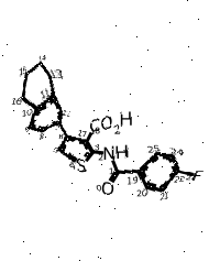 O=C(Nc1scc(-c2ccc3c(c2)CCCC3)c1C(=O)O)c1ccc(F)cc1